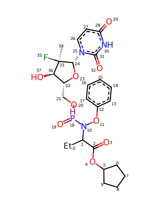 CCC(C(=O)OC1CCCC1)N(Oc1ccccc1)[PH](=O)OC[C@H]1O[C@@H](n2ccc(=O)[nH]c2=O)[C@](C)(F)[C@@H]1O